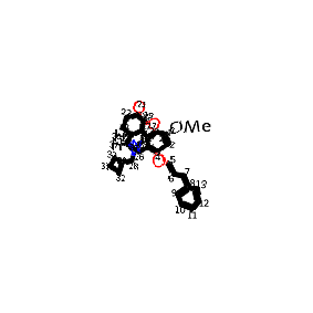 COc1cc(OCCCc2ccccc2)c2c3c1O[C@@]1(C)C(=O)CC[C@H]4[C@@H](C2)N(CC2CCC2)CC[C@@]341